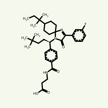 CCC(C)(C)C1CCC2(CC1)N=C(c1cccc(F)c1)C(=O)N2[C@H](CCC(C)(C)C)c1ccc(C(=O)NCCC(=O)O)cc1